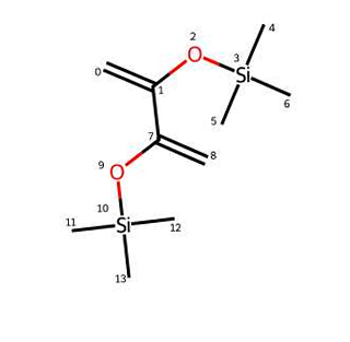 C=C(O[Si](C)(C)C)C(=C)O[Si](C)(C)C